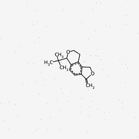 C=C1OCc2c1ccc1c2CCOC1C(C)(C)C